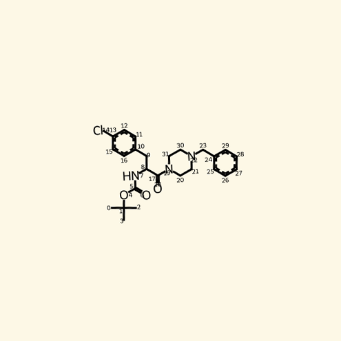 CC(C)(C)OC(=O)NC(Cc1ccc(Cl)cc1)C(=O)N1CCN(Cc2ccccc2)CC1